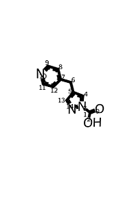 O=C(O)n1cc(Cc2ccncc2)cn1